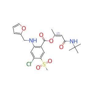 C/C(=C/C(=O)NC(C)(C)C)OC(=O)c1cc(S(C)(=O)=O)c(Cl)cc1NCc1ccco1